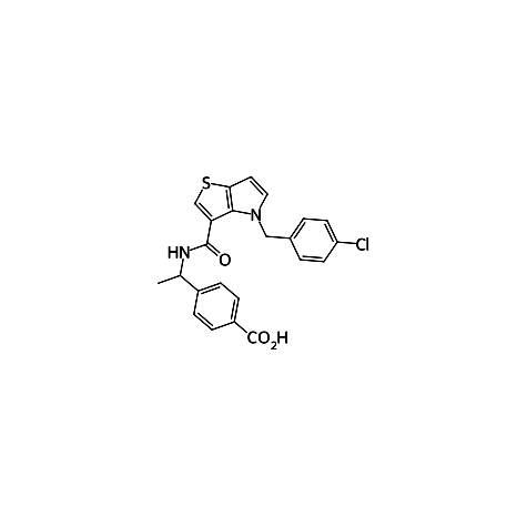 CC(NC(=O)c1csc2ccn(Cc3ccc(Cl)cc3)c12)c1ccc(C(=O)O)cc1